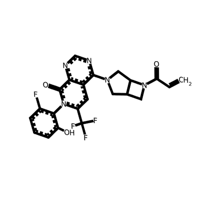 C=CC(=O)N1CC2CN(c3ncnc4c(=O)n(-c5c(O)cccc5F)c(C(F)(F)F)cc34)CC21